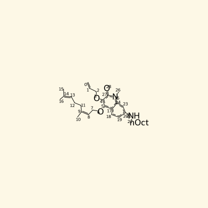 C=CCOc1c(OCC=C(C)CCC=C(C)C)c2ccc(NCCCCCCCC)cc2n(C)c1=O